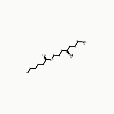 CCCCCC(=O)OCCCC(=N)CCCN